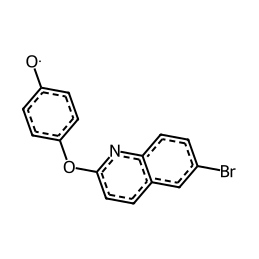 [O]c1ccc(Oc2ccc3cc(Br)ccc3n2)cc1